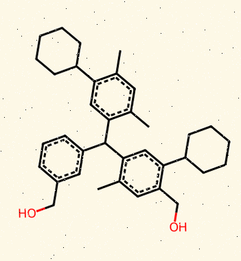 Cc1cc(C)c(C(c2cccc(CO)c2)c2cc(C3CCCCC3)c(CO)cc2C)cc1C1CCCCC1